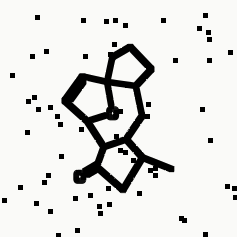 CC1CC(=O)C2C3C=CC4(CCCC4CC12)O3